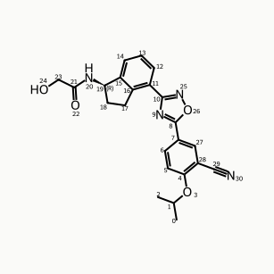 CC(C)Oc1ccc(-c2nc(-c3cccc4c3CC[C@H]4NC(=O)CO)no2)cc1C#N